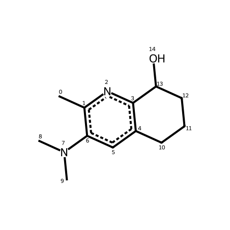 Cc1nc2c(cc1N(C)C)CCCC2O